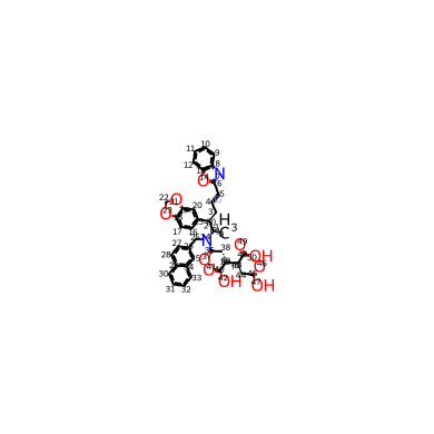 C[C@H]([C@H](C/C=C/c1nc2ccccc2o1)c1ccc2c(c1)OCO2)N(Cc1ccc2ccccc2c1)C(=O)C[C@@H](C(=O)O)[C@H](CC(=O)O)C(=O)O